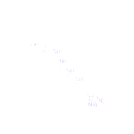 CC(C)CCCC(C)[C@H]1CCC2C3CC=C4CC(NCCCNC(=O)CCNC(=O)CCNC(=O)CCCCCNc5ccc([N+](=O)[O-])c6nonc56)CC[C@]4(C)C3CC[C@@]21C